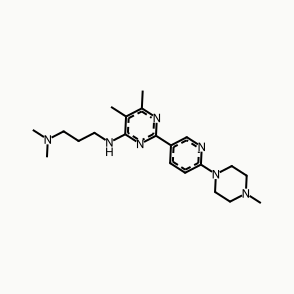 Cc1nc(-c2ccc(N3CCN(C)CC3)nc2)nc(NCCCN(C)C)c1C